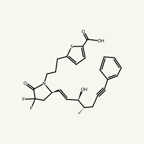 C[C@@H](CC#Cc1ccccc1)[C@H](O)C=C[C@H]1CC(F)(F)C(=O)N1CCCc1ccc(C(=O)O)s1